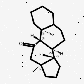 C[C@@]12CCC[C@H]1[C@@H]1CCC3CCCC[C@]3(C)[C@H]1C(=O)C2